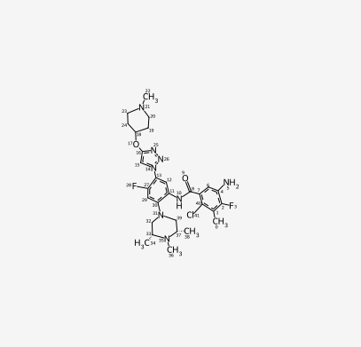 Cc1c(F)c(N)cc(C(=O)Nc2cc(-n3cc(OC4CCN(C)CC4)nn3)c(F)cc2N2C[C@@H](C)N(C)[C@@H](C)C2)c1Cl